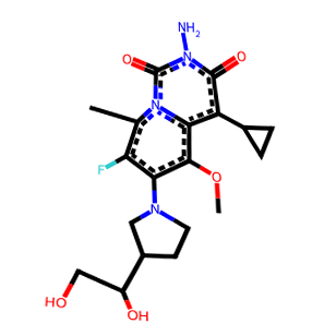 COc1c(N2CCC(C(O)CO)C2)c(F)c(C)n2c(=O)n(N)c(=O)c(C3CC3)c12